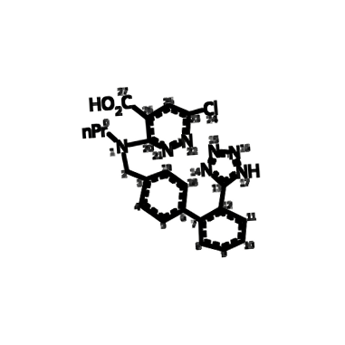 CCCN(Cc1ccc(-c2ccccc2-c2nnn[nH]2)cc1)c1nnc(Cl)cc1C(=O)O